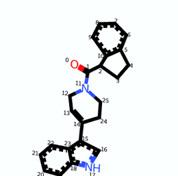 O=C(C1CCc2ccccc21)N1CC=C(c2c[nH]c3ccccc23)CC1